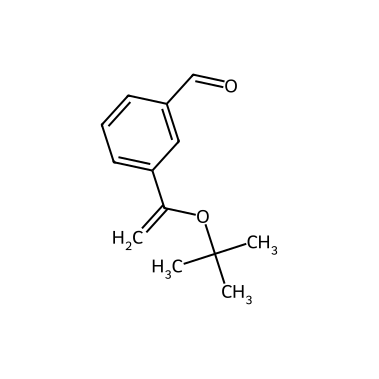 C=C(OC(C)(C)C)c1cccc(C=O)c1